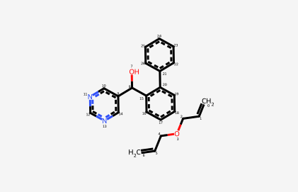 C=CCOCC=C.OC(c1cncnc1)c1ccccc1-c1ccccc1